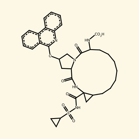 O=C(O)NC1CCCCCCCC2CC2(C(=O)NS(=O)(=O)C2CC2)NC(=O)C2CC(Oc3nc4ccccc4c4ccccc34)CN2C1=O